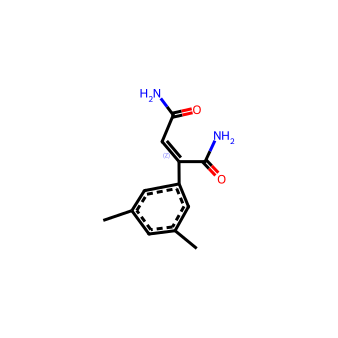 Cc1cc(C)cc(/C(=C/C(N)=O)C(N)=O)c1